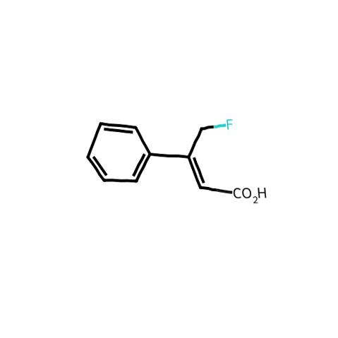 O=C(O)C=C(CF)c1ccccc1